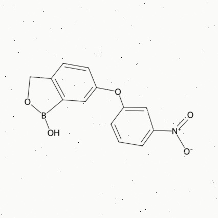 O=[N+]([O-])c1cccc(Oc2ccc3c(c2)B(O)OC3)c1